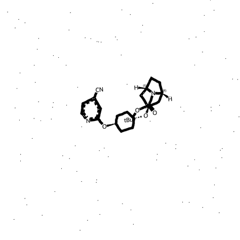 CC(C)(C)OC(=O)N1[C@@H]2CC[C@H]1C[C@H](O[C@H]1CC[C@H](Oc3cc(C#N)ccn3)CC1)C2